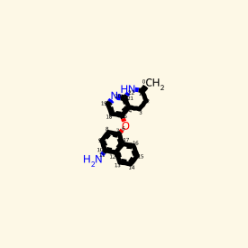 C=C1CCc2c(Oc3ccc(N)c4ccccc34)ccnc2N1